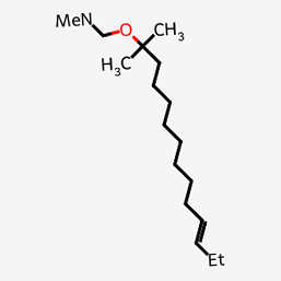 CC/C=C/CCCCCCCCC(C)(C)OCNC